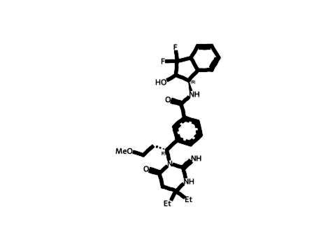 CCC1(CC)CC(=O)N([C@H](CCOC)c2cccc(C(=O)N[C@@H]3C4C=CC=CC4C(F)(F)C3O)c2)C(=N)N1